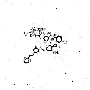 C=C1C[C@H](CCC2OCCCO2)O[C@H]1CC[C@H]1C[C@@H](C)C(=C)[C@@H](C[C@@H]2O[C@H](C[C@@H](CO[Si](C)(C)C(C)(C)C)O[Si](C)(C)C(C)(C)C)[C@H](OC)[C@H]2CS(=O)(=O)c2ccc(CC)cc2)O1